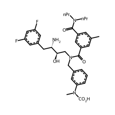 CCCN(CCC)C(=O)c1cc(C)cc(C(=O)N(Cc2cccc(N(C)C(=O)O)c2)C[C@@H](O)[C@@H](N)Cc2cc(F)cc(F)c2)c1